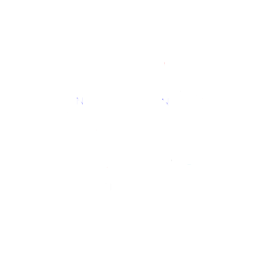 COc1ccc(CN2C(=O)COc3ccc(C(=O)NO)cc32)c(C(F)(F)F)c1